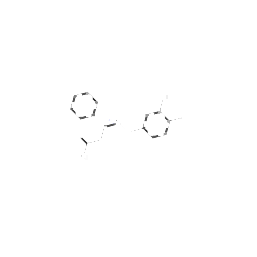 NC(=O)C/C(=N\Oc1ccc(F)c(O)c1F)c1ccccc1